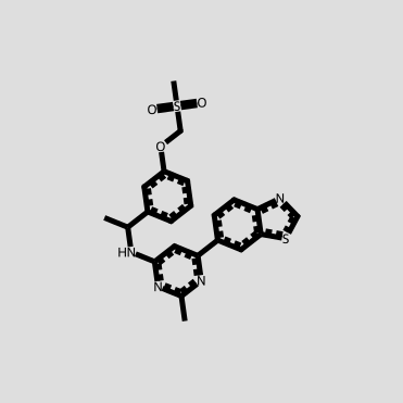 Cc1nc(NC(C)c2cccc(OCS(C)(=O)=O)c2)cc(-c2ccc3ncsc3c2)n1